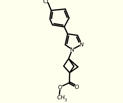 COC(=O)C12CC(n3cc(-c4ccc(Cl)cc4)cn3)(C1)C2